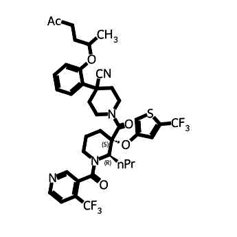 CCC[C@H]1N(C(=O)c2cnccc2C(F)(F)F)CCC[C@@]1(Oc1csc(C(F)(F)F)c1)C(=O)N1CCC(C#N)(c2ccccc2OC(C)CCC(C)=O)CC1